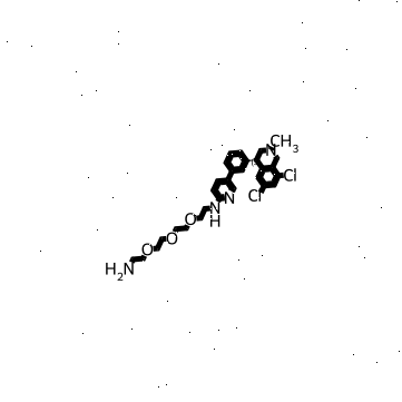 CN1Cc2c(Cl)cc(Cl)cc2[C@H](c2cccc(-c3ccc(NCCOCCOCCOCCN)nc3)c2)C1